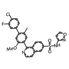 COc1cc(-c2ccc(Cl)c(F)c2)c(C)cc1-c1nccc2cc(S(=O)(=O)Nc3ccon3)ccc12